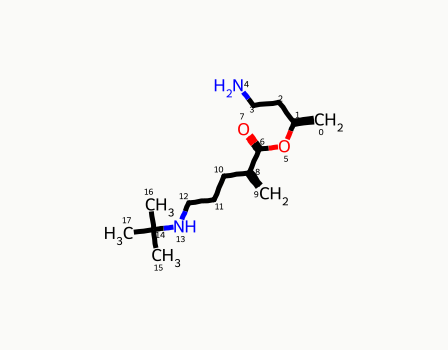 C=C(CCN)OC(=O)C(=C)CCCNC(C)(C)C